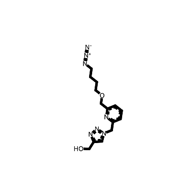 [N-]=[N+]=NCCCCOCc1cccc(Cn2cc(CO)nn2)n1